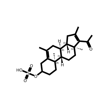 CC(=O)C1=C(C)C[C@H]2[C@@H]3CC(C)=C4CC(OS(=O)(=O)O)CC[C@]4(C)[C@H]3CC[C@]12C